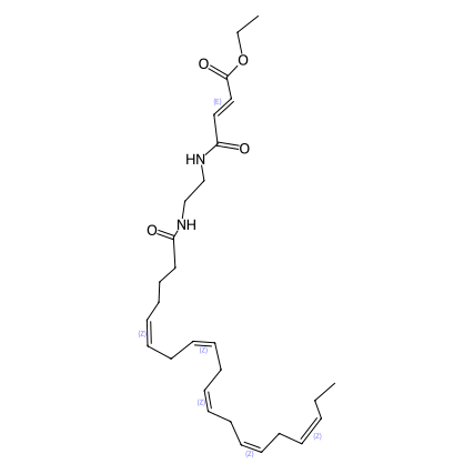 CC/C=C\C/C=C\C/C=C\C/C=C\C/C=C\CCCC(=O)NCCNC(=O)/C=C/C(=O)OCC